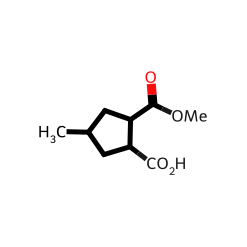 COC(=O)C1CC(C)CC1C(=O)O